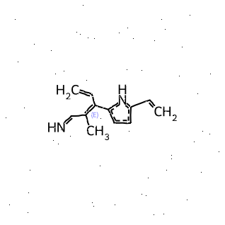 C=C/C(=C(/C)C=N)c1ccc(C=C)[nH]1